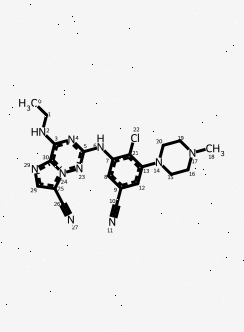 CCNc1nc(Nc2cc(C#N)cc(N3CCN(C)CC3)c2Cl)nn2c(C#N)cnc12